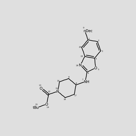 CCCCCCCCCCc1ccc2oc(NC3CCN(C(=O)OC(C)(C)C)CC3)nc2c1